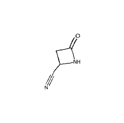 N#CC1CC(=O)N1